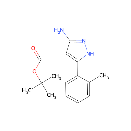 CC(C)(C)OC=O.Cc1ccccc1-c1cc(N)n[nH]1